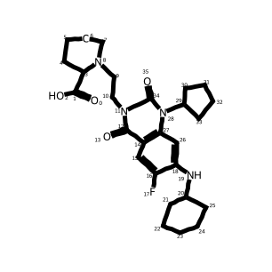 O=C(O)C1CCCCN1CCn1c(=O)c2cc(F)c(NC3CCCCC3)cc2n(C2CCCC2)c1=O